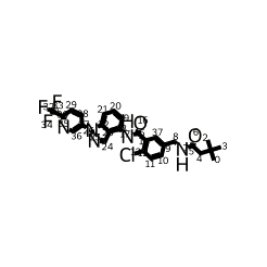 CC(C)(C)CC(=O)NCc1ccc(Cl)c(C(=O)Nc2cccc3c2cnn3-c2ccc(C(F)(F)F)nc2)c1